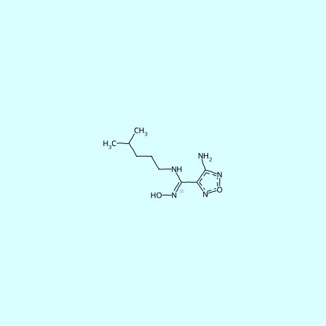 CC(C)CCCN/C(=N\O)c1nonc1N